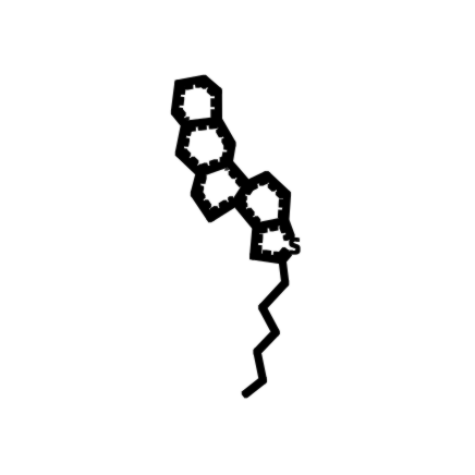 CCCCCCc1cc2c(ccc3c4cc5ccccc5cc4ccc23)s1